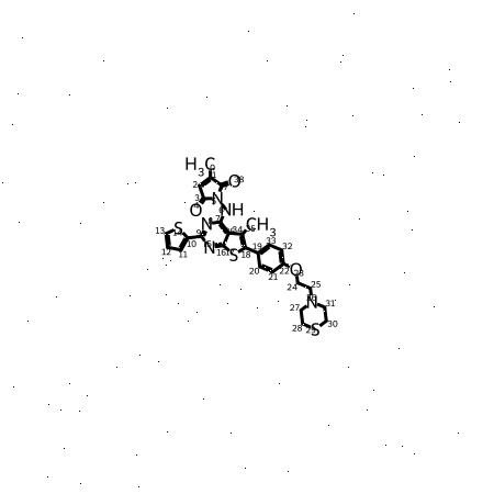 CC1=CC(=O)N(Nc2nc(-c3cccs3)nc3sc(-c4ccc(OCCN5CCSCC5)cc4)c(C)c23)C1=O